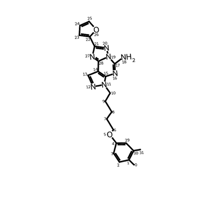 Cc1ccc(OCCCCCn2ncc3c2nc(N)n2nc(-c4ccco4)nc32)cc1C